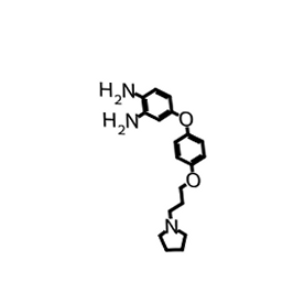 Nc1ccc(Oc2ccc(OCCCN3CCCC3)cc2)cc1N